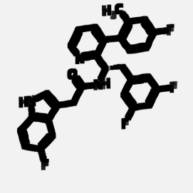 Cc1cc(F)ccc1-c1cccnc1[C@H](Cc1cc(F)cc(F)c1)NC(=O)Cc1c[nH]c2ccc(F)cc12